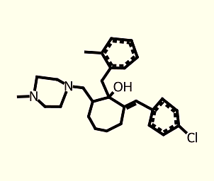 Cc1ccccc1CC1(O)C(=Cc2ccc(Cl)cc2)CCCCC1CN1CCN(C)CC1